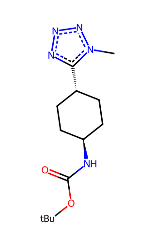 Cn1nnnc1[C@H]1CC[C@H](NC(=O)OC(C)(C)C)CC1